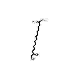 CCCCCC(C)CCCCCCCCCCCCC(O)CO